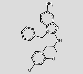 CC(Cc1ccc(Cl)cc1Cl)Nc1nc2cc(N)ccc2n1Cc1ccccc1